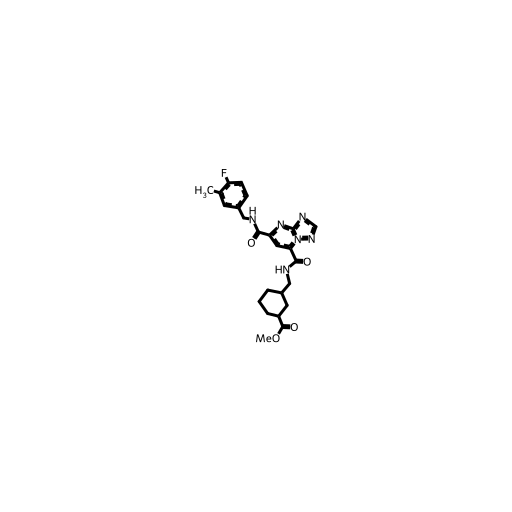 COC(=O)C1CCCC(CNC(=O)c2cc(C(=O)NCc3ccc(F)c(C)c3)nc3ncnn23)C1